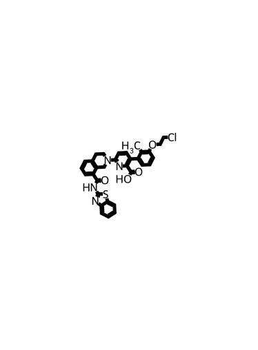 Cc1c(OCCCl)cccc1-c1ccc(N2CCc3cccc(C(=O)Nc4nc5ccccc5s4)c3C2)nc1C(=O)O